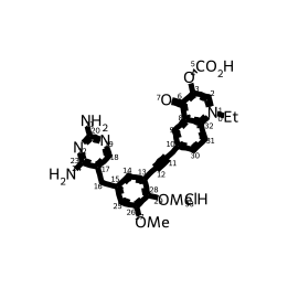 CCn1cc(OC(=O)O)c(=O)c2cc(C#Cc3cc(Cc4cnc(N)nc4N)cc(OC)c3OC)ccc21.Cl